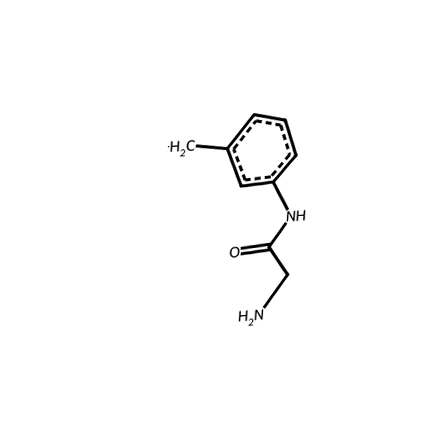 [CH2]c1cccc(NC(=O)CN)c1